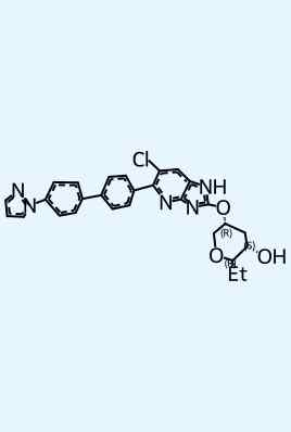 CC[C@H]1OC[C@H](Oc2nc3nc(-c4ccc(-c5ccc(-n6cccn6)cc5)cc4)c(Cl)cc3[nH]2)C[C@@H]1O